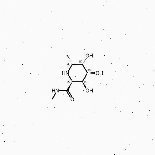 CNC(=O)[C@H]1N[C@H](C)[C@H](O)[C@@H](O)[C@H]1O